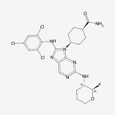 NC(=O)[C@H]1CC[C@@H](n2c(Nc3c(Cl)cc(Cl)cc3Cl)nc3cnc(N[C@H]4CCCO[C@@H]4F)nc32)CC1